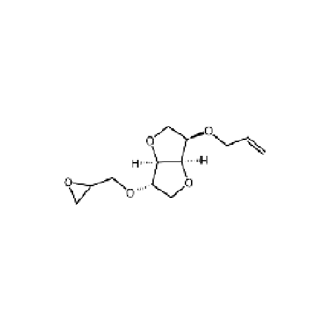 C=CCO[C@@H]1CO[C@H]2[C@@H]1OC[C@@H]2OCC1CO1